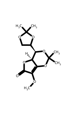 COC1=C2OC(C)(C)O[C@H](C3COC(C)(C)O3)[C@@H]2OC1=O